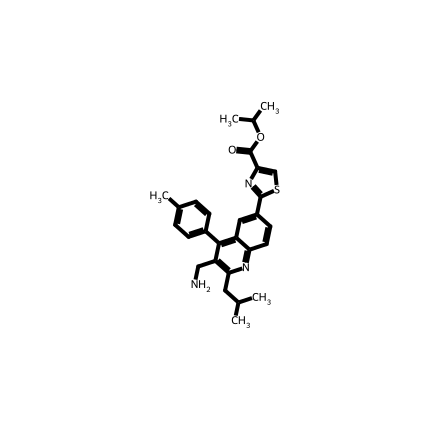 Cc1ccc(-c2c(CN)c(CC(C)C)nc3ccc(-c4nc(C(=O)OC(C)C)cs4)cc23)cc1